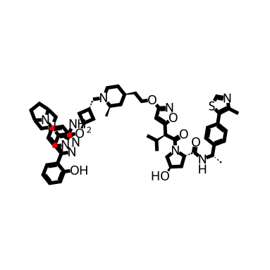 Cc1ncsc1-c1ccc([C@H](C)NC(=O)[C@@H]2C[C@@H](O)CN2C(=O)[C@H](c2cc(OCC[C@@H]3CCN(C[C@H]4C[C@H](Oc5cc(N6C7CCC6CN(c6cc(-c8ccccc8O)nnc6N)C7)ccn5)C4)[C@H](C)C3)no2)C(C)C)cc1